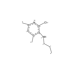 CCCNc1c(C)cc(C)nc1Cl